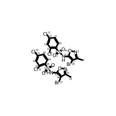 Cc1noc(NS(=O)(=O)c2ccc(Cl)cc2Cl)c1Br.Cc1noc(NS(=O)(=O)c2ccc(Cl)cc2Cl)c1Br